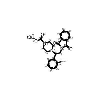 CC(C)(C)OC(=O)N1CCN(C(CN2C(=O)c3ccccc3C2=O)c2ccccc2F)CC1